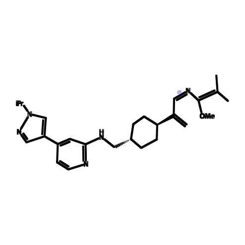 C=C(/C=N\C(OC)=C(C)C)[C@H]1CC[C@H](CNc2cc(-c3cnn(C(C)C)c3)ccn2)CC1